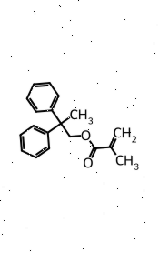 C=C(C)C(=O)OCC(C)(c1ccccc1)c1ccccc1